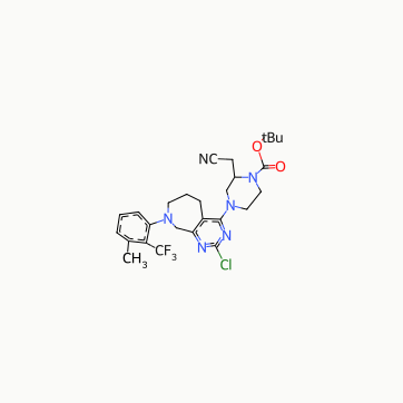 Cc1cccc(N2CCCc3c(nc(Cl)nc3N3CCN(C(=O)OC(C)(C)C)C(CC#N)C3)C2)c1C(F)(F)F